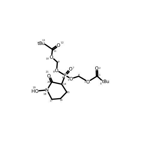 CC(C)(C)C(=O)OCOP(=O)(OCOC(=O)C(C)(C)C)C1CCCN(O)C1=O